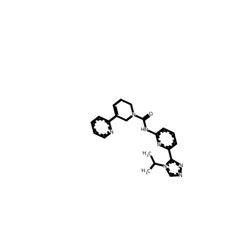 CC(C)n1cnnc1-c1cccc(NC(=O)N2CCC=C(c3ccccn3)C2)n1